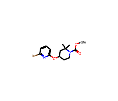 CC(C)(C)OC(=O)N1CCC(Oc2cccc(Br)n2)CC1(C)C